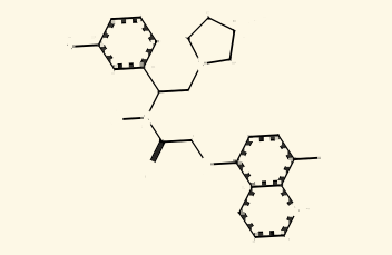 Cc1ccc(OCC(=O)N(C)C(CN2CC[C@H](O)C2)c2cccc([N+](=O)[O-])c2)c2cccnc12